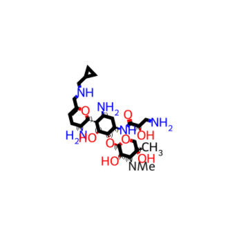 CN[C@@H]1[C@@H](O)[C@@H](O[C@H]2[C@H](NC(=O)[C@H](O)CN)C[C@H](N)C([C@H]3OC(CNCC4CC4)=CC[C@H]3N)[C@@H]2O)OC[C@]1(C)O